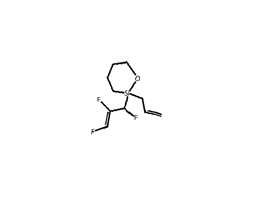 C=CC[Si]1(C(F)C(F)=CF)CCCCO1